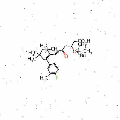 Cc1cc(C2=C(/C=C/C(=O)C[C@H](CC(=O)O)O[Si](C)(C)C(C)(C)C)C(C)(C)CC(C)(C)C2)ccc1F